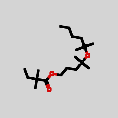 CCCC[Si](C)(C)O[Si](C)(C)CCCOC(=O)C(C)(C)CC